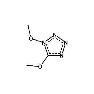 COc1nnnn1OC